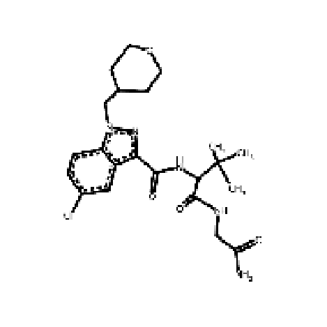 CC(C)(C)C(NC(=O)c1nn(CC2CCOCC2)c2ccc(Cl)cc12)C(=O)NCC(N)=O